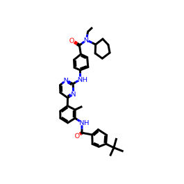 CCN(C(=O)c1ccc(Nc2nccc(-c3cccc(NC(=O)c4ccc(C(C)(C)C)cc4)c3C)n2)cc1)C1CCCCC1